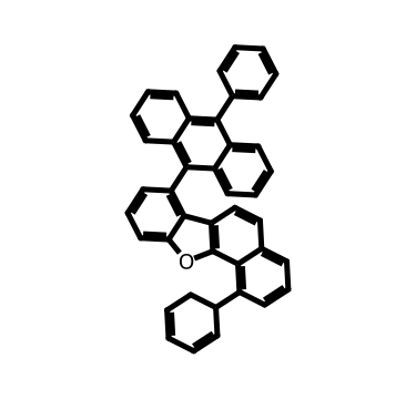 C1=CCC(c2cccc3ccc4c(oc5cccc(-c6c7ccccc7c(-c7ccccc7)c7ccccc67)c54)c23)C=C1